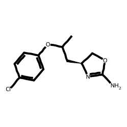 CC(C[C@H]1COC(N)=N1)Oc1ccc(Cl)cc1